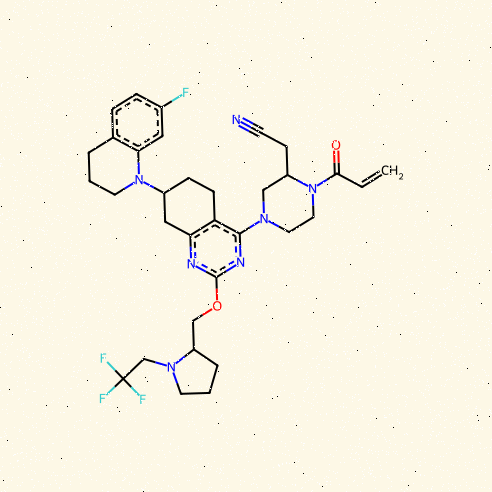 C=CC(=O)N1CCN(c2nc(OCC3CCCN3CC(F)(F)F)nc3c2CCC(N2CCCc4ccc(F)cc42)C3)CC1CC#N